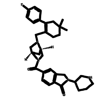 CC1(C)CCC(CN2C[C@H]3C[C@@H]2CN3C(=O)c2ccc3c(c2)CN(C2CCCNC2)C3=O)=C(c2ccc(F)cc2)C1